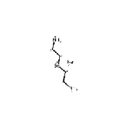 NCC[Se]CCN.[Na]